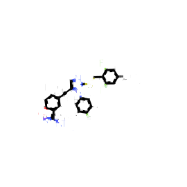 COc1cc(-n2c(C(C)(C)c3ccc4onc(N)c4c3)cnc2SCc2c(F)cc(C(=O)O)cc2F)ccc1F